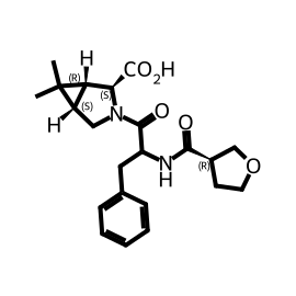 CC1(C)[C@@H]2[C@@H](C(=O)O)N(C(=O)C(Cc3ccccc3)NC(=O)[C@@H]3CCOC3)C[C@@H]21